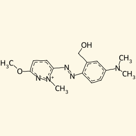 COc1ccc(N=Nc2ccc(N(C)C)cc2CO)[n+](C)n1